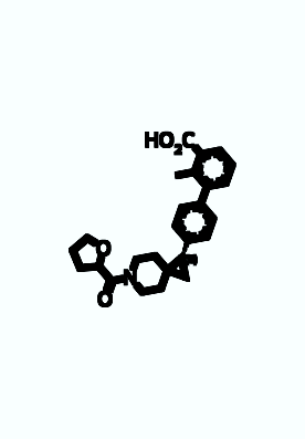 Cc1c(C(=O)O)cccc1-c1ccc([C@@H]2CC23CCN(C(=O)C2CCCO2)CC3)cc1